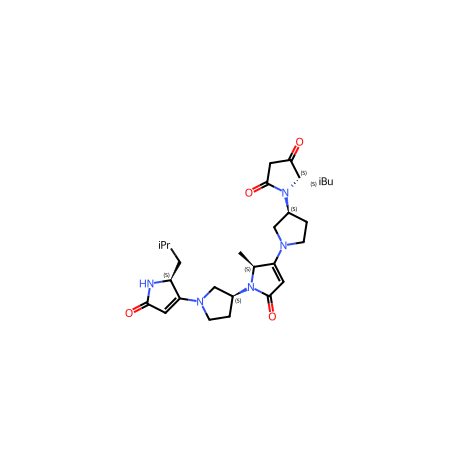 CC[C@H](C)[C@H]1C(=O)CC(=O)N1[C@H]1CCN(C2=CC(=O)N([C@H]3CCN(C4=CC(=O)N[C@H]4CC(C)C)C3)[C@H]2C)C1